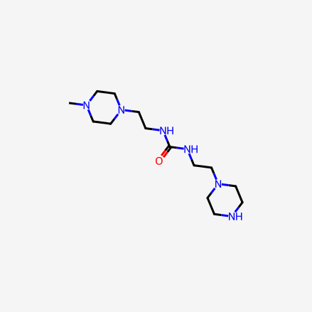 CN1CCN(CCNC(=O)NCCN2CCNCC2)CC1